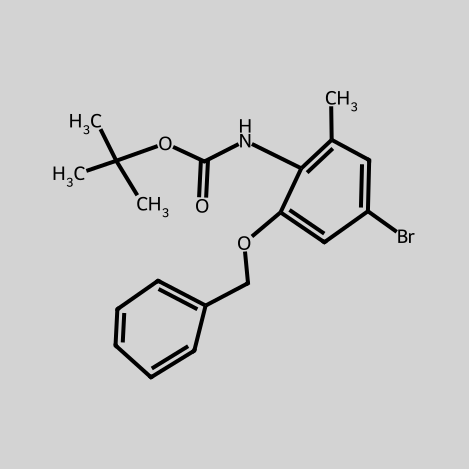 Cc1cc(Br)cc(OCc2ccccc2)c1NC(=O)OC(C)(C)C